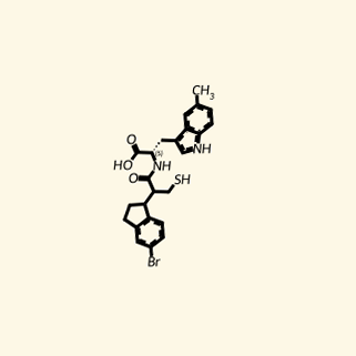 Cc1ccc2[nH]cc(C[C@H](NC(=O)C(CS)C3CCc4cc(Br)ccc43)C(=O)O)c2c1